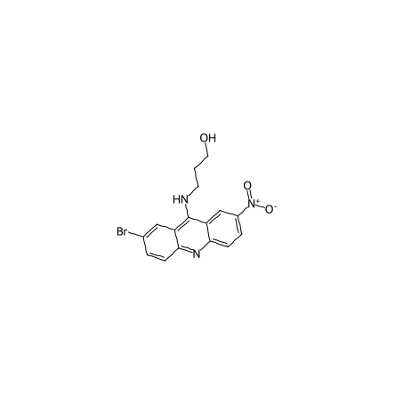 O=[N+]([O-])c1ccc2nc3ccc(Br)cc3c(NCCCO)c2c1